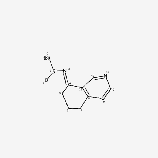 CC(C)(C)[S+]([O-])/N=C1\CCCc2ccncc21